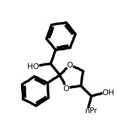 CCCC(O)C1COC(c2ccccc2)(C(O)c2ccccc2)O1